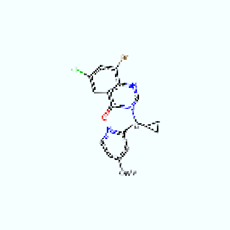 COc1ccnc([C@H](C2CC2)n2cnc3c(Br)cc(Cl)cc3c2=O)c1